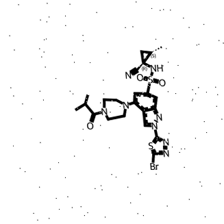 CC(C)C(=O)N1CCN(c2cc(S(=O)(=O)N[C@]3(C#N)C[C@@H]3C)cc3nn(-c4nnc(Br)s4)cc23)CC1